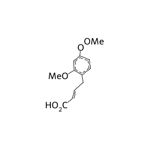 COOc1ccc(C/C=C/C(=O)O)c(OC)c1